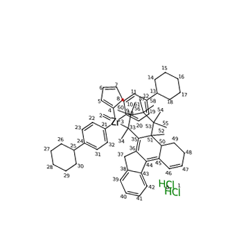 Cl.Cl.[CH2]=[Zr]([C]1=CC=CC1)([c]1ccc(C2CCCCC2)cc1)([c]1ccc(C2CCCCC2)cc1)[C]1(C)C2=C3Cc4ccccc4C3=C3C=CCCC3C2(C)C(C)(C)C(C)(C)C1(C)C